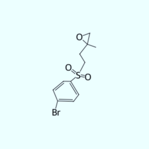 CC1(CCS(=O)(=O)c2ccc(Br)cc2)CO1